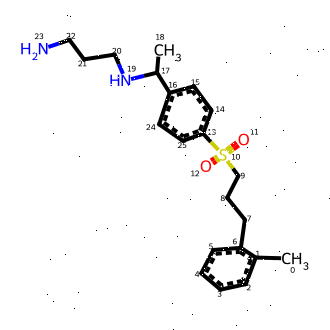 Cc1ccccc1CCCS(=O)(=O)c1ccc(C(C)NCCCN)cc1